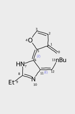 C=c1cco/c1=c1\[nH]c(CC)n\c1=C\CCCC